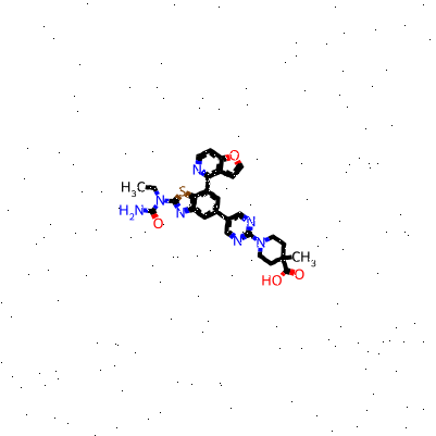 CCN(C(N)=O)c1nc2cc(-c3cnc(N4CCC(C)(C(=O)O)CC4)nc3)cc(-c3nccc4occc34)c2s1